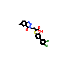 Cc1ccc2nnn(CCC(Sc3ccc(-c4ccc(Cl)c(Cl)c4)cc3)C(=O)O)c(=O)c2c1